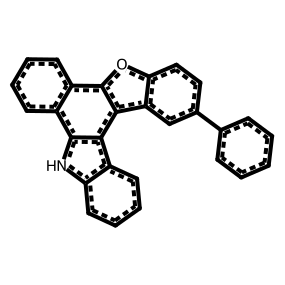 c1ccc(-c2ccc3oc4c5ccccc5c5[nH]c6ccccc6c5c4c3c2)cc1